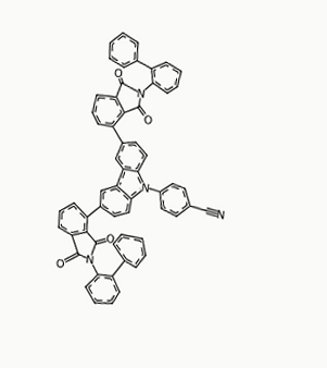 N#Cc1ccc(-n2c3ccc(-c4cccc5c4C(=O)N(c4ccccc4-c4ccccc4)C5=O)cc3c3cc(-c4cccc5c4C(=O)N(c4ccccc4-c4ccccc4)C5=O)ccc32)cc1